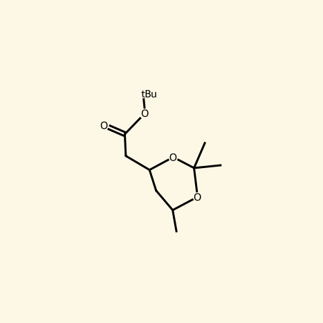 CC1CC(CC(=O)OC(C)(C)C)OC(C)(C)O1